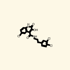 O=C(NCCCc1ccc(Cl)c(Cl)c1)c1c(O)c(=O)[nH]c2ccc(Cl)cc12